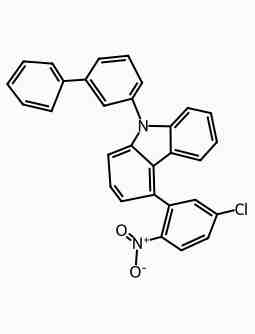 O=[N+]([O-])c1ccc(Cl)cc1-c1cccc2c1c1ccccc1n2-c1cccc(-c2ccccc2)c1